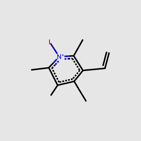 C=Cc1c(C)c(C)c(C)[n+](I)c1C